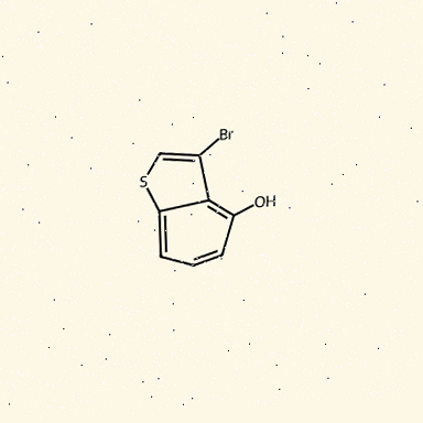 Oc1cccc2scc(Br)c12